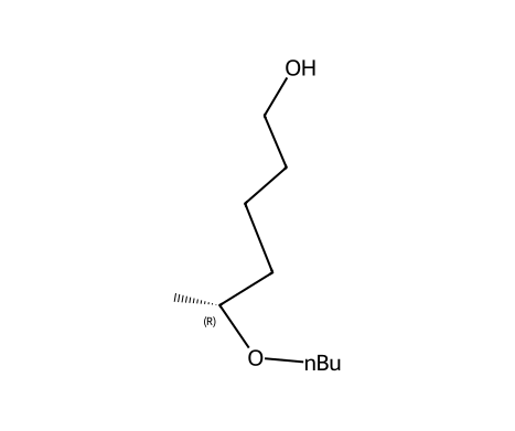 CCCCO[C@H](C)CCCCO